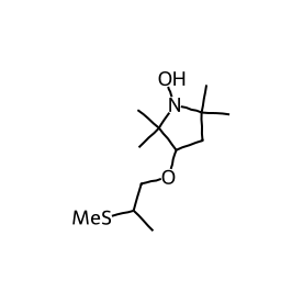 CSC(C)COC1CC(C)(C)N(O)C1(C)C